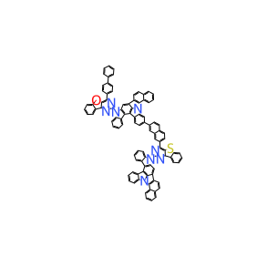 c1ccc(-c2ccc(-c3nc(-n4c5ccccc5c5c6c7ccc(-c8ccc9ccc(-c%10nc(-n%11c%12ccccc%12c%12c%13c%14ccccc%14n%14c%15c%16ccccc%16ccc%15c(cc%12%11)c%13%14)nc%11c%10sc%10ccccc%10%11)cc9c8)cc7n7c8c9ccccc9ccc8c(cc54)c67)nc4c3oc3ccccc34)cc2)cc1